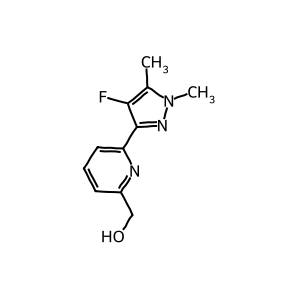 Cc1c(F)c(-c2cccc(CO)n2)nn1C